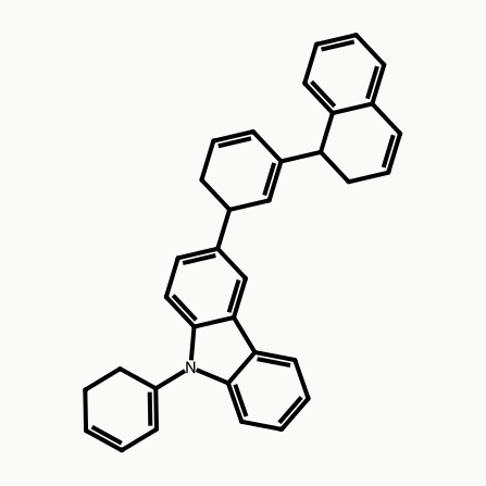 C1=CCCC(n2c3ccccc3c3cc(C4C=C(C5CC=Cc6ccccc65)C=CC4)ccc32)=C1